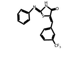 O=C1NC(=Nc2ccccc2)SC1=Cc1cccc(C(F)(F)F)c1